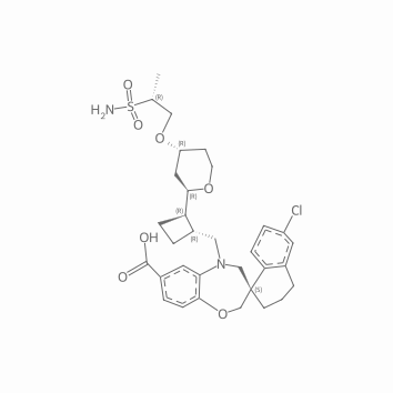 C[C@H](CO[C@@H]1CCO[C@@H]([C@@H]2CC[C@H]2CN2C[C@@]3(CCCc4cc(Cl)ccc43)COc3ccc(C(=O)O)cc32)C1)S(N)(=O)=O